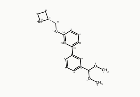 COC(OC)c1cccc(-c2cccc(OC[C@H]3CCN3)n2)c1